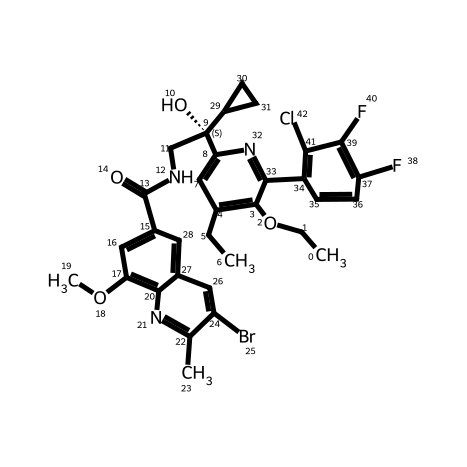 CCOc1c(CC)cc([C@@](O)(CNC(=O)c2cc(OC)c3nc(C)c(Br)cc3c2)C2CC2)nc1-c1ccc(F)c(F)c1Cl